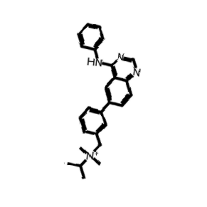 [CH2]C(C)[N+](C)(C)Cc1cccc(-c2ccc3ncnc(Nc4ccccc4)c3c2)c1